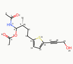 CC(=O)NC(OC(C)=O)[C@H](C)CCc1ccc(C#CCO)s1